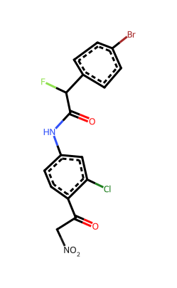 O=C(C[N+](=O)[O-])c1ccc(NC(=O)C(F)c2ccc(Br)cc2)cc1Cl